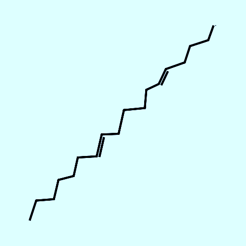 [CH2]CCCC=CCCCCC=CCCCCCC